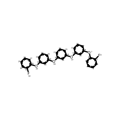 Fc1ccccc1Oc1cccc(Oc2cccc(Oc3cccc(Oc4ccccc4F)c3)c2)c1